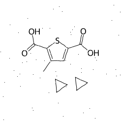 C1CC1.C1CC1.Cc1cc(C(=O)O)sc1C(=O)O